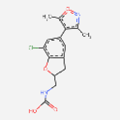 Cc1noc(C)c1-c1cc(Cl)c2c(c1)CC(CNC(=O)O)O2